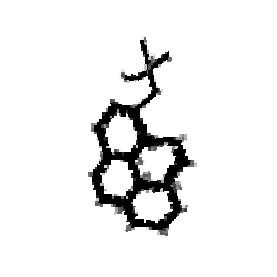 C[Si](C)(C)Cc1ccc2ccc3cccc4ccc1c2c34